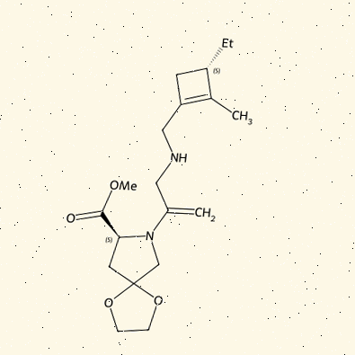 C=C(CNCC1=C(C)[C@@H](CC)C1)N1CC2(C[C@H]1C(=O)OC)OCCO2